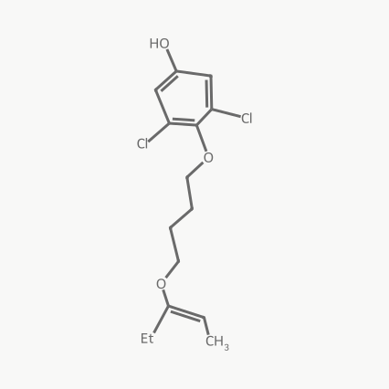 CC=C(CC)OCCCCOc1c(Cl)cc(O)cc1Cl